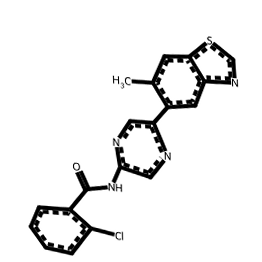 Cc1cc2scnc2cc1-c1cnc(NC(=O)c2ccccc2Cl)cn1